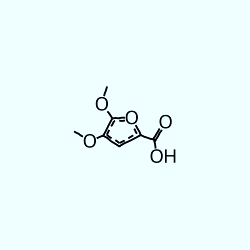 COc1cc(C(=O)O)oc1OC